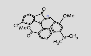 COC(=O)c1ccccc1N1/C(=C\c2ccc(N(C)C)cc2OC)C(=O)c2ccc(Cl)cc21